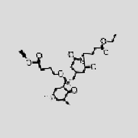 C#COC(=O)CCCO[C@H](CC1CC(=O)N(CCCC(=O)OCC)C(=O)C1)C1C[C@@H](C)CC(C)C1=O